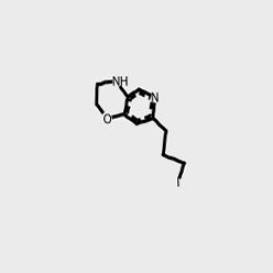 ICCCc1cc2c(cn1)NCCO2